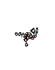 c1ccc(-c2ccc(-c3nc(-c4ccc(-c5ccccc5)cc4)nc(-c4ccccc4-n4c5ccccc5c5ccc6c7ccc8c9ccccc9n(-c9ccccc9-c9ccccc9)c8c7oc6c54)n3)cc2)cc1